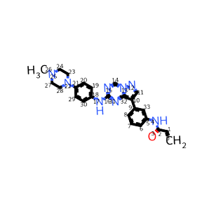 C=CC(=O)Nc1cccc(-c2cnn3cnc(Nc4ccc(N5CCN(C)CC5)cc4)nc23)c1